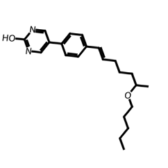 CCCCCOC(C)CCCC=Cc1ccc(-c2cnc(O)nc2)cc1